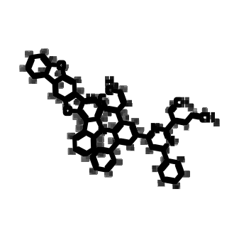 C=C/C=C(\C=C)c1nc(-c2ccccc2)cc(-c2cc(C(/C=C\C)=C/C)c(-n3c4ccccc4c4c5oc6cc7c(cc6c5ccc43)oc3ccccc37)c(-c3ccccc3)c2)n1